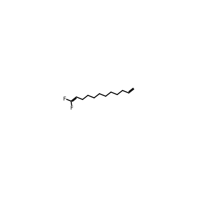 C=CCCCCCCCCC=C(F)F